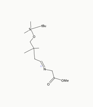 COC(=O)C/N=C/CC(C)(C)CO[Si](C)(C)C(C)(C)C